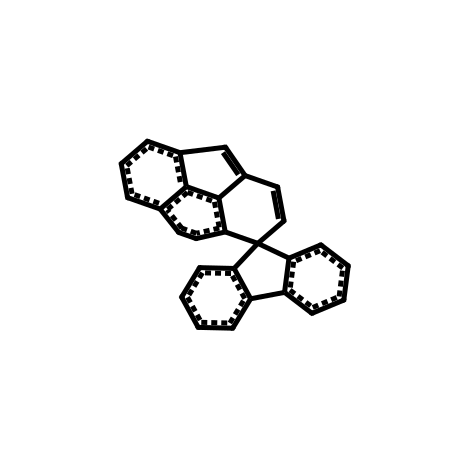 C1=CC2(c3ccccc3-c3ccccc32)c2ccc3cccc4c3c2C1=C4